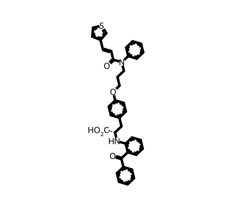 O=C(c1ccccc1)c1ccccc1N[C@@H](Cc1ccc(OCCCN(C(=O)C=Cc2ccsc2)c2ccccc2)cc1)C(=O)O